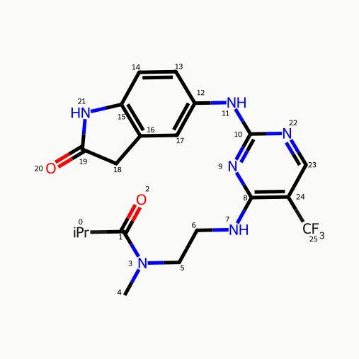 CC(C)C(=O)N(C)CCNc1nc(Nc2ccc3c(c2)CC(=O)N3)ncc1C(F)(F)F